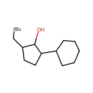 CC(C)(C)CC1CCC(C2CCCCC2)C1O